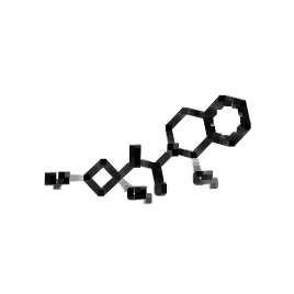 C[C@H]1c2ccccc2CCN1C(=O)N[C@]1(C)C[C@@H](N)C1